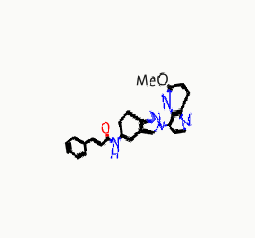 COc1ccc2nccc(-n3cc4c(n3)CCC(NC(=O)/C=C/c3ccccc3)C4)c2n1